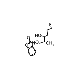 C[C@H](COn1c(=O)oc2ccccc21)[C@@H](O)CCCF